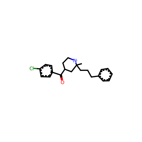 CC1(CCCc2ccccc2)CC(C(=O)c2ccc(Cl)cc2)CC[N]1